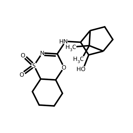 CC1(C)C2CCC1C(NC1=NS(=O)(=O)C3CCCCC3O1)C2O